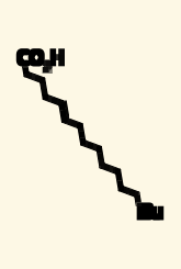 CCC(C)CCCCCCC/C=C/CCCC(=O)O